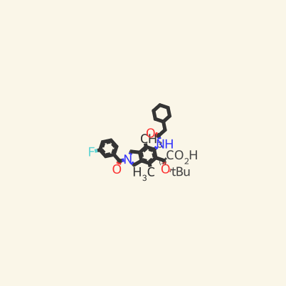 Cc1c2c(c(C)c([C@H](OC(C)(C)C)C(=O)O)c1NC(=O)CC1CCCCC1)CN(C(=O)c1cccc(F)c1)C2